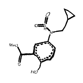 COC(=O)c1cc(N(CC2CC2)[SH](=O)=O)ccc1O